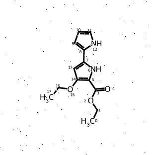 CCOC(=O)c1[nH]c(-c2ccc[nH]2)cc1OCC